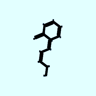 C=c1cccc/c1=C/C=C\CC